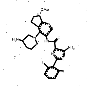 CO[C@H]1CCc2c1ncc(NC(=O)c1nc(-c3c(F)cccc3F)sc1N)c2N1CCCC(N)C1